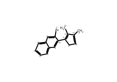 CC(=O)c1cc2ccccc2cc1C1=C(C)C(C)=CC1